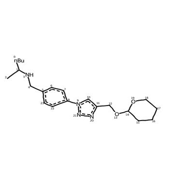 CCCCC(C)NCc1ccc(-n2cc(COC3CCCCO3)nn2)cc1